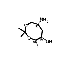 C[C@@H]1OC(C)(C)OC[C@H](N)C[C@@H]1O